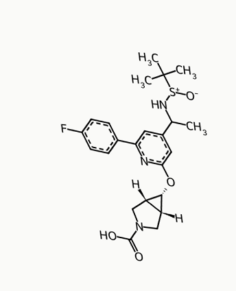 CC(N[S+]([O-])C(C)(C)C)c1cc(O[C@@H]2[C@@H]3CN(C(=O)O)C[C@@H]32)nc(-c2ccc(F)cc2)c1